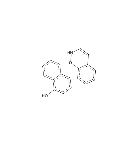 C1=Cc2ccccc2ON1.Oc1cccc2ccccc12